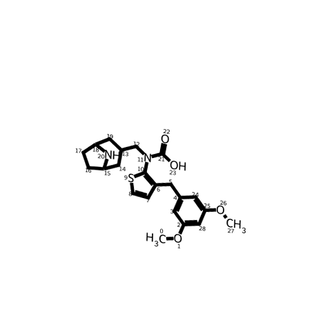 COc1cc(Cc2ccsc2N(CC2CC3CCC(C2)N3)C(=O)O)cc(OC)c1